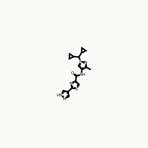 Cc1nn(C(C2CC2)C2CC2)cc1NC(=O)c1csc(-c2cn[nH]c2)n1